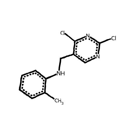 Cc1ccccc1NCc1cnc(Cl)nc1Cl